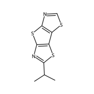 CC(C)c1nc2sc3ncsc3c2s1